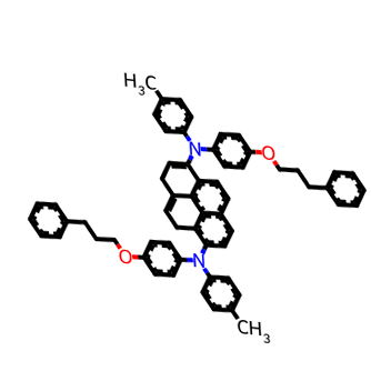 Cc1ccc(N(C2=CCC3=CCc4c(N(c5ccc(C)cc5)c5ccc(OCCCc6ccccc6)cc5)ccc5ccc2c3c45)c2ccc(OCCCc3ccccc3)cc2)cc1